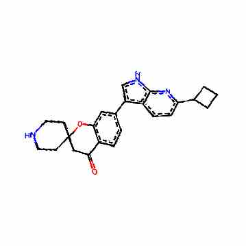 O=C1CC2(CCNCC2)Oc2cc(-c3c[nH]c4nc(C5CCC5)ccc34)ccc21